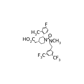 Cc1cc(F)ccc1[C@H]1C[C@H](CC(=O)O)CCN1C(=O)N(C)CCc1cc(C(F)(F)F)cc(C(F)(F)F)c1